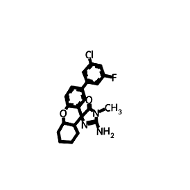 CN1C(=O)C2(N=C1N)c1cc(-c3cc(F)cc(Cl)c3)ccc1OC1CCCCC12